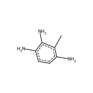 Cc1c(N)ccc(N)c1N